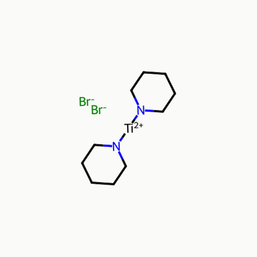 C1CC[N]([Ti+2][N]2CCCCC2)CC1.[Br-].[Br-]